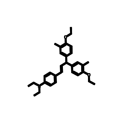 CCOc1ccc(C(C=Cc2ccc(N(CC)CC)cc2)c2ccc(OCC)c(C)c2)cc1C